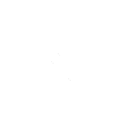 c1ccc(OCC2=NC(c3ccccc3)C(c3cccnc3)N2)cc1